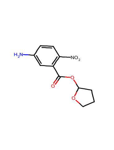 Nc1ccc([N+](=O)[O-])c(C(=O)OC2CCCO2)c1